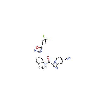 Cc1ccc(-c2noc(C3CC(F)(F)C3)n2)cc1NC(=O)c1cnc2cc(C#N)ccn12